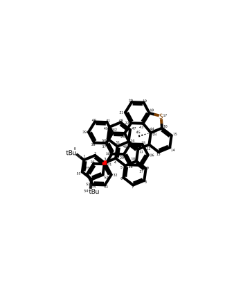 CC(C)(C)c1cc(-c2c3ccccc3c(C3C=CC=C4Sc5cccc(-c6c7ccccc7c(-c7ccccc7)c7ccccc67)c5[C@@]43C)c3ccccc23)cc(C(C)(C)C)c1